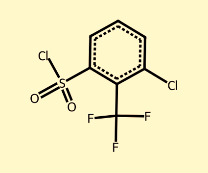 O=S(=O)(Cl)c1cccc(Cl)c1C(F)(F)F